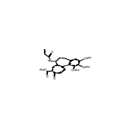 C=CC(=O)N[C@H]1CCc2cc(OC)c(OC)c(OC)c2-c2ccc(=O)c(C(=O)OC)cc21